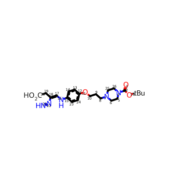 CC(C)(C)OC(=O)N1CCN(CCCOc2ccc(N/C=C(/CC(=O)O)N=N)cc2)CC1